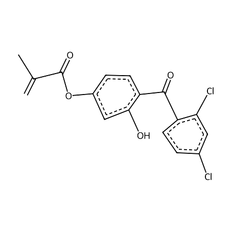 C=C(C)C(=O)Oc1ccc(C(=O)c2ccc(Cl)cc2Cl)c(O)c1